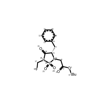 CC(C)(C)OC(=O)CN1[C@@H](Cc2ccccc2)C(=O)N(CF)S1(=O)=O